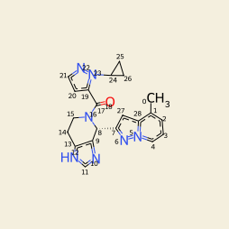 Cc1cccn2nc([C@@H]3c4nc[nH]c4CCN3C(=O)c3ccnn3C3CC3)cc12